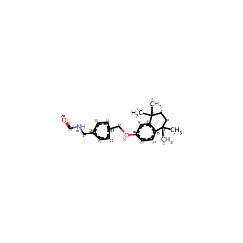 CC1(C)CCC(C)(C)c2cc(OCc3ccc(CNC=O)cc3)ccc21